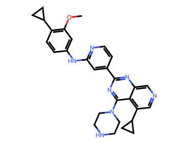 COc1cc(Nc2cc(-c3nc(N4CCNCC4)c4c(C5CC5)cncc4n3)ccn2)ccc1C1CC1